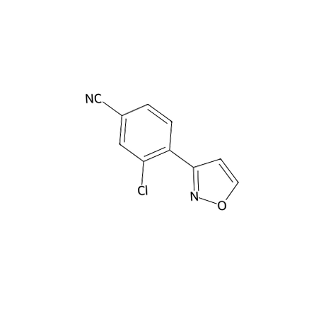 N#Cc1ccc(-c2ccon2)c(Cl)c1